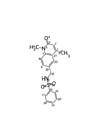 Cc1cc(=O)n(C)c2ccc(CNS(=O)(=O)c3ccccc3)cc12